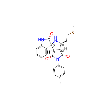 CSCC[C@@H]1N[C@@]2(C(=O)Nc3ccccc32)[C@@H]2C(=O)N(c3ccc(C)cc3)C(=O)[C@H]12